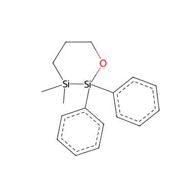 C[Si]1(C)CCCO[Si]1(c1ccccc1)c1ccccc1